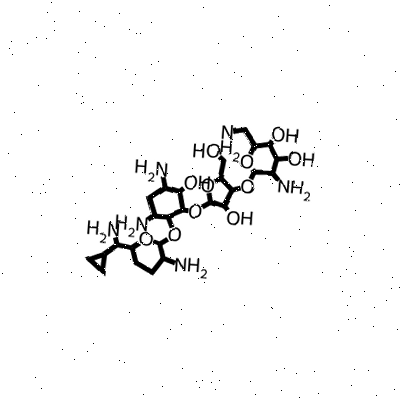 NCC1OC(OC2C(CO)OC(OC3C(O)C(N)CC(N)C3OC3OC(C(N)C4CC4)CCC3N)C2O)C(N)C(O)C1O